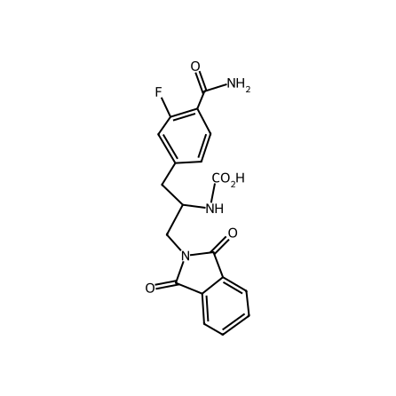 NC(=O)c1ccc(CC(CN2C(=O)c3ccccc3C2=O)NC(=O)O)cc1F